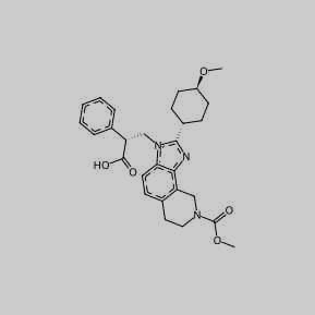 COC(=O)N1CCc2ccc3c(nc([C@H]4CC[C@H](OC)CC4)n3C[C@H](C(=O)O)c3ccccc3)c2C1